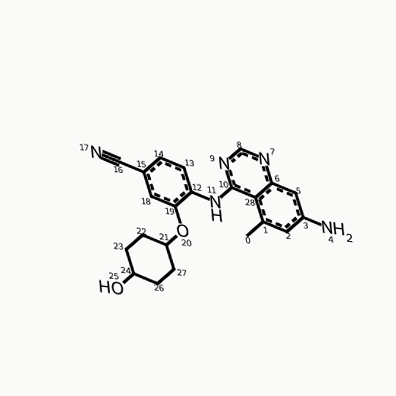 Cc1cc(N)cc2ncnc(Nc3ccc(C#N)cc3OC3CCC(O)CC3)c12